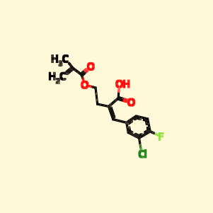 C=C(C)C(=O)OCCC(=Cc1ccc(F)c(Cl)c1)C(=O)O